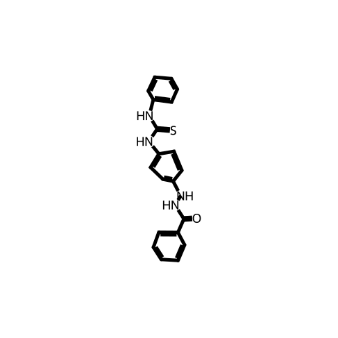 O=C(NNc1ccc(NC(=S)Nc2ccccc2)cc1)c1ccccc1